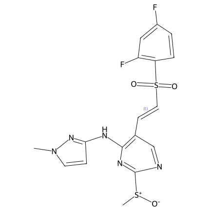 Cn1ccc(Nc2nc([S+](C)[O-])ncc2/C=C/S(=O)(=O)c2ccc(F)cc2F)n1